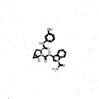 CC(C)(C)c1cccc(NC(=O)[C@@H]2CC3C[C@H]3N2C(=O)Nc2cn(C(N)=O)c3ccccc23)c1